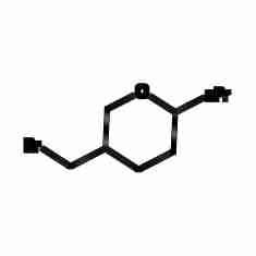 CCCC1CCC(CBr)CO1